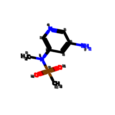 CN(c1cncc(N)c1)S(C)(=O)=O